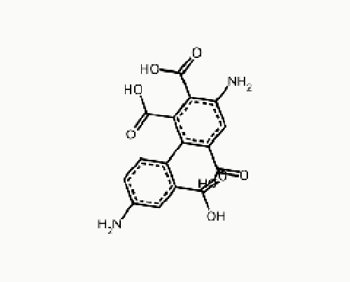 Nc1ccc(-c2c(C(=O)O)cc(N)c(C(=O)O)c2C(=O)O)c(C(=O)O)c1